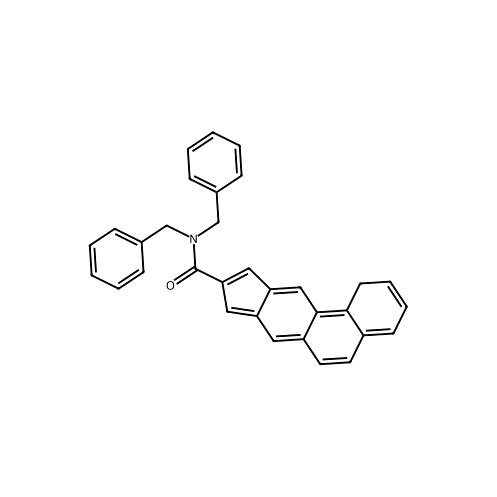 O=C(C1=Cc2cc3c4c(ccc3cc2=C1)=CC=CC4)N(Cc1ccccc1)Cc1ccccc1